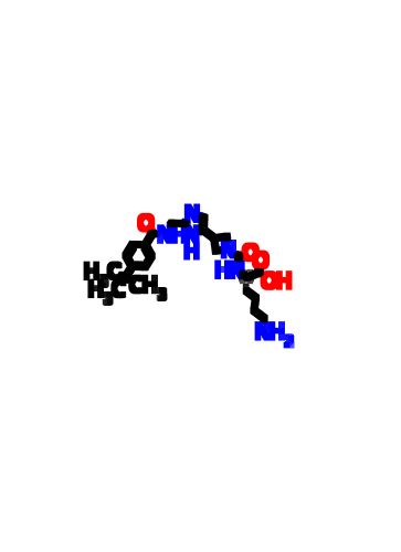 CC(C)(C)c1ccc(C(=O)NCc2ncc(C3CN(C(=O)N[C@@H](CCCCN)C(=O)O)C3)[nH]2)cc1